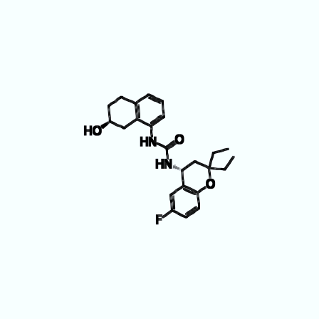 CCC1(CC)C[C@@H](NC(=O)Nc2cccc3c2C[C@@H](O)CC3)c2cc(F)ccc2O1